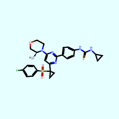 C[C@H]1COCCN1c1cc(C2(S(=O)(=O)c3ccc(F)cc3)CC2)nc(-c2ccc(NC(=S)NC3CC3)cc2)n1